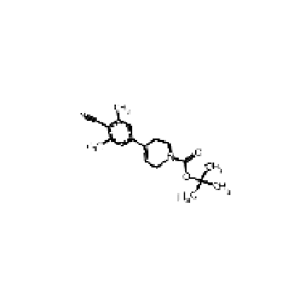 Cc1cc(C2=CCN(C(=O)OC(C)(C)C)CC2)cc(C)c1C#N